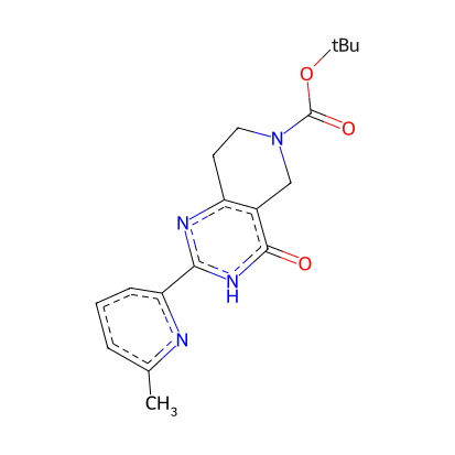 Cc1cccc(-c2nc3c(c(=O)[nH]2)CN(C(=O)OC(C)(C)C)CC3)n1